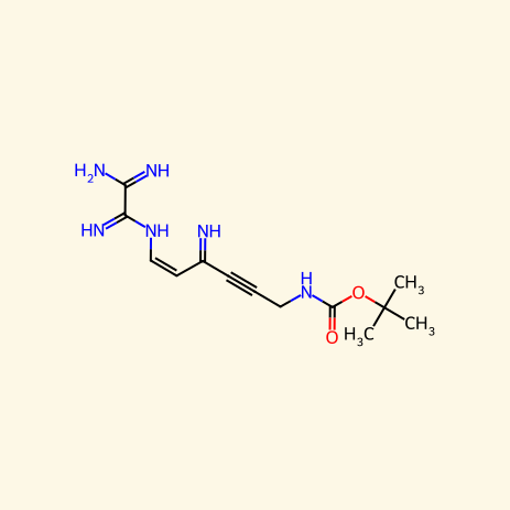 CC(C)(C)OC(=O)NCC#CC(=N)/C=C\NC(=N)C(=N)N